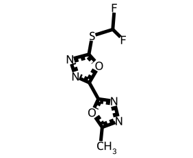 Cc1nnc(-c2nnc(SC(F)F)o2)o1